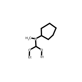 CCOC(OCC)N(C)C1CCCCC1